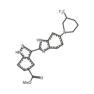 COC(=O)c1ccc2[nH]nc(-c3nc4ccc(N5CCCC(C(F)(F)F)C5)cc4[nH]3)c2c1